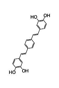 Oc1ccc(C=Cc2ccc(C=Cc3ccc(O)c(O)c3)cc2)cc1O